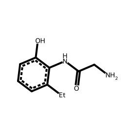 [CH2]Cc1cccc(O)c1NC(=O)CN